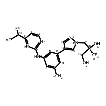 Cc1cc(Nc2nccc(C(F)F)n2)cc(-c2cnn(C[C@](O)(CO)C(F)(F)F)c2)c1